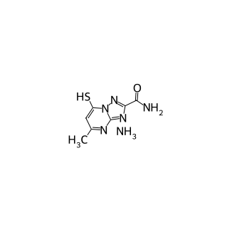 Cc1cc(S)n2nc(C(N)=O)nc2n1.N